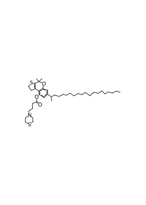 CCCCCCCCCCCCCCCCCCC(C)c1cc(OC(=O)CCCN2CCSCC2)c2c(c1)OC(C)(C)C1=C2CCS1